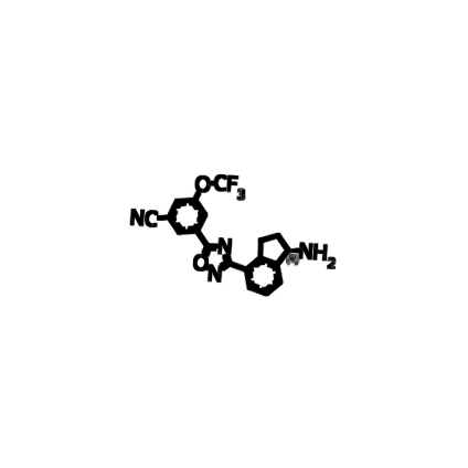 N#Cc1cc(OC(F)(F)F)cc(-c2nc(-c3cccc4c3CC[C@H]4N)no2)c1